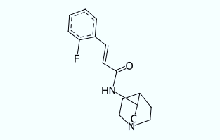 O=C(/C=C/c1ccccc1F)NC1CN2CCC1CC2